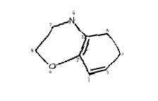 C1=CC2=C(CC1)[N]CCO2